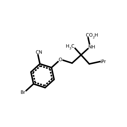 CC(C)CC(C)(COc1ccc(Br)cc1C#N)NC(=O)O